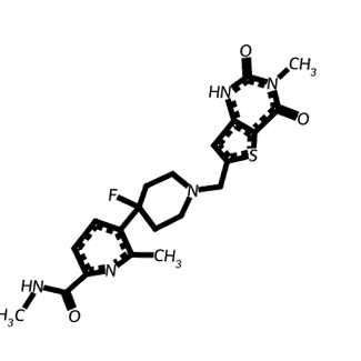 CNC(=O)c1ccc(C2(F)CCN(Cc3cc4[nH]c(=O)n(C)c(=O)c4s3)CC2)c(C)n1